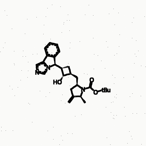 C=C1C[C@@H](C[C@@H]2C[C@@H]([C@@H]3c4ccccc4-c4cncn43)[C@H]2O)N(C(=O)OC(C)(C)C)[C@H]1C